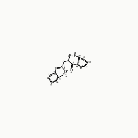 CCC(C[N+]([O-])=Cc1ccccc1F)C(=O)c1ccccc1F